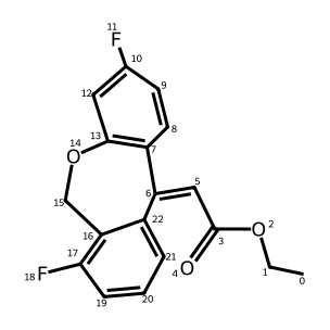 CCOC(=O)/C=C1/c2ccc(F)cc2OCc2c(F)cccc21